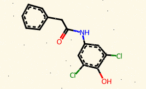 O=C(Cc1ccccc1)Nc1cc(Cl)c(O)c(Cl)c1